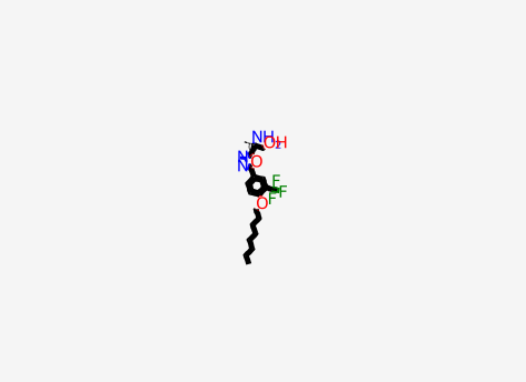 CCCCCCCCOc1ccc(-c2nnc([C@@](C)(N)CO)o2)cc1C(F)(F)F